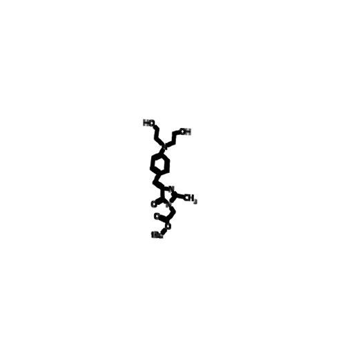 CC1=N/C(=C\c2ccc(N(CCO)CCO)cc2)C(=O)N1CC(=O)OC(C)(C)C